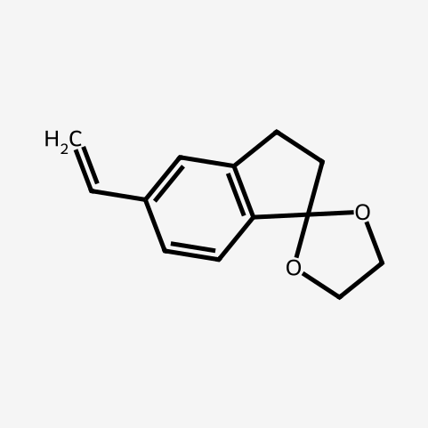 C=Cc1ccc2c(c1)CCC21OCCO1